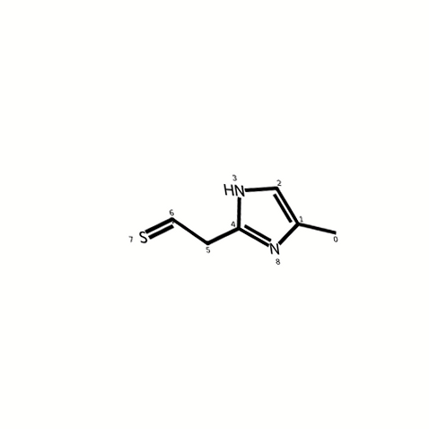 Cc1c[nH]c(C[C]=S)n1